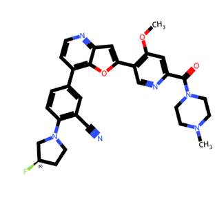 COc1cc(C(=O)N2CCN(C)CC2)ncc1-c1cc2nccc(-c3ccc(N4CC[C@@H](F)C4)c(C#N)c3)c2o1